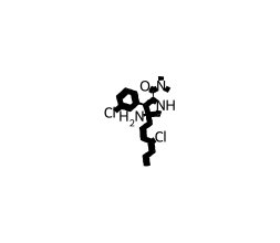 C=C/C=C(Cl)\C=C/C[C@@]1(N)CN[C@@H](C(=O)N(C)C)[C@@H]1c1cccc(Cl)c1